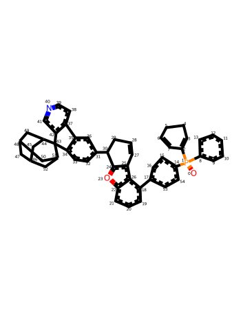 O=P(C1=CCCC=C1)(c1ccccc1)c1ccc(-c2cccc3oc4c(c23)C=CCC4c2ccc3c(c2)-c2ccncc2C32C3CC4CC(C3)CC2C4)cc1